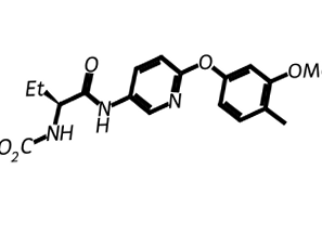 CC[C@H](NC(=O)O)C(=O)Nc1ccc(Oc2ccc(C)c(OC)c2)nc1